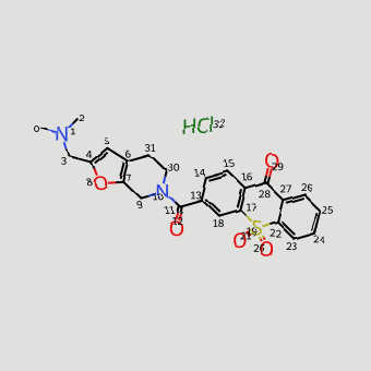 CN(C)Cc1cc2c(o1)CN(C(=O)c1ccc3c(c1)S(=O)(=O)c1ccccc1C3=O)CC2.Cl